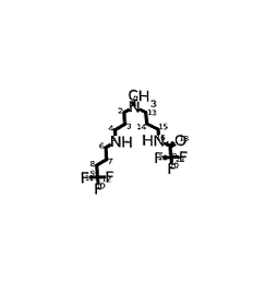 CN(CCCNCCCC(F)(F)F)CCCNC(=O)C(F)(F)F